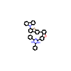 C1=CC2c3ccccc3N(c3cccc4c3sc3cc(-c5cccc6oc7ccc(C8=NC(c9ccccc9)NC(c9ccccc9)N8)cc7c56)ccc34)C2C=C1